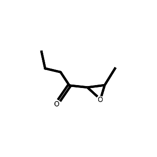 CCCC(=O)C1OC1C